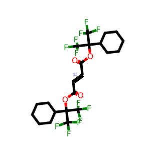 O=C(/C=C/C(=O)OC(C1CCCCC1)(C(F)(F)F)C(F)(F)F)OC(C1CCCCC1)(C(F)(F)F)C(F)(F)F